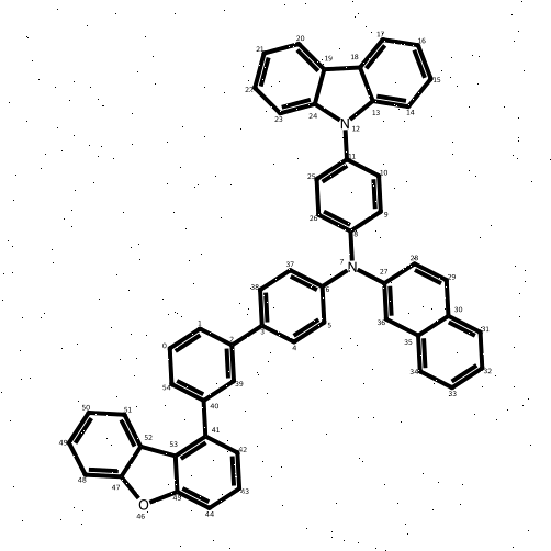 c1cc(-c2ccc(N(c3ccc(-n4c5ccccc5c5ccccc54)cc3)c3ccc4ccccc4c3)cc2)cc(-c2cccc3oc4ccccc4c23)c1